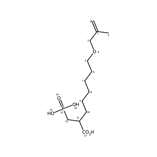 C=C(C)COCCCCCCC(CP(=O)(O)O)C(=O)O